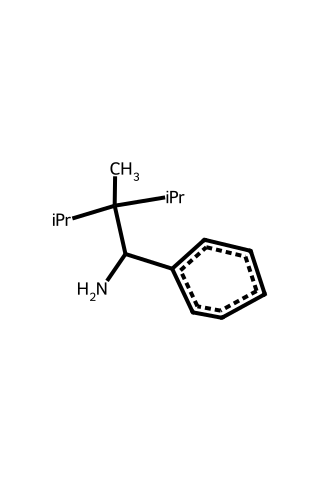 CC(C)C(C)(C(C)C)C(N)c1ccccc1